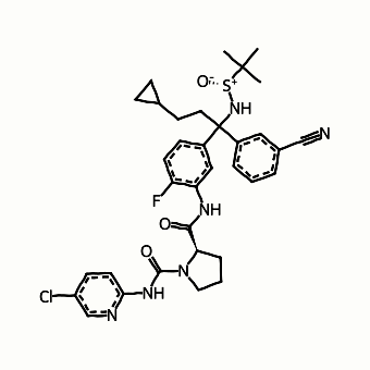 CC(C)(C)[S@@+]([O-])NC(CCC1CC1)(c1cccc(C#N)c1)c1ccc(F)c(NC(=O)[C@H]2CCCN2C(=O)Nc2ccc(Cl)cn2)c1